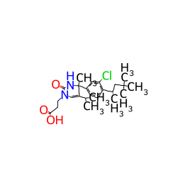 CC(C)C1=CN(CCC(=O)O)C(=O)NC1(C)c1ccc([C@@H](C)CC(C)(C)C)c(Cl)c1